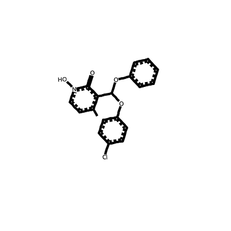 Cc1ccn(O)c(=O)c1C(Oc1ccccc1)Oc1ccc(Cl)cc1